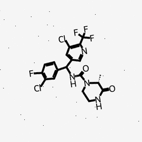 C[C@@H]1C(=O)NCCN1C(=O)NC(c1ccc(F)c(Cl)c1)c1cnc(C(F)(F)F)c(Cl)c1